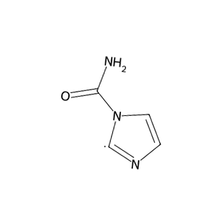 NC(=O)n1[c]ncc1